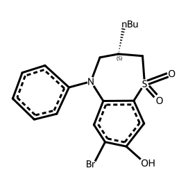 CCCC[C@H]1CN(c2ccccc2)c2cc(Br)c(O)cc2S(=O)(=O)C1